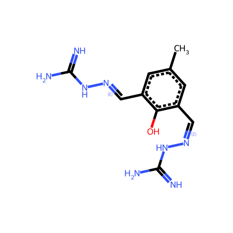 Cc1cc(/C=N\NC(=N)N)c(O)c(/C=N/NC(=N)N)c1